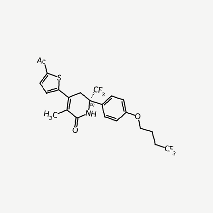 CC(=O)c1ccc(C2=C(C)C(=O)N[C@@](c3ccc(OCCCC(F)(F)F)cc3)(C(F)(F)F)C2)s1